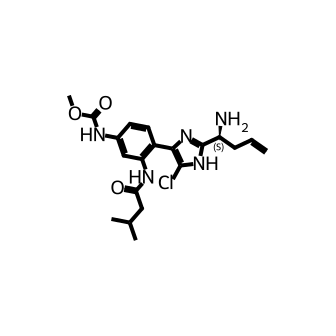 C=CC[C@H](N)c1nc(-c2ccc(NC(=O)OC)cc2NC(=O)CC(C)C)c(Cl)[nH]1